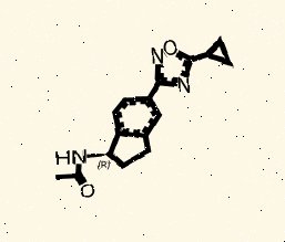 CC(=O)N[C@@H]1CCc2cc(-c3noc(C4CC4)n3)ccc21